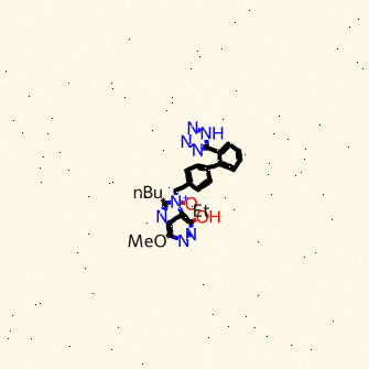 CCCCC1=Nc2c(OC)nnc(O)c2[N+]1(Cc1ccc(-c2ccccc2-c2nnn[nH]2)cc1)OCC